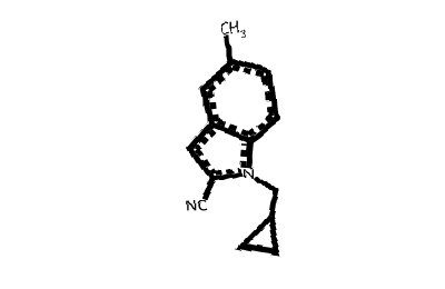 Cc1ccc2c(c1)cc(C#N)n2CC1CC1